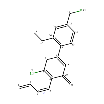 C=C/C=C\C1=C(Cl)CC(c2ccc(CF)cc2CC)=CC1=C